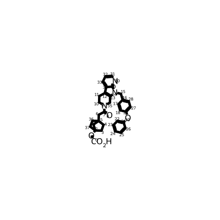 O=C(O)OC12CCC(CC(=O)N3CCc4c(n(Cc5ccc(Oc6ccccc6)cc5)c5ncccc45)C3)(CC1)C2